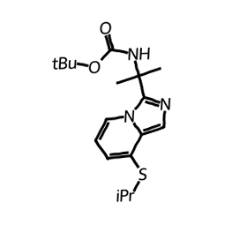 CC(C)Sc1cccn2c(C(C)(C)NC(=O)OC(C)(C)C)ncc12